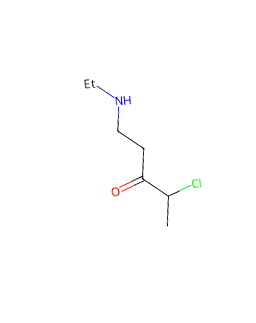 CCNCCC(=O)C(C)Cl